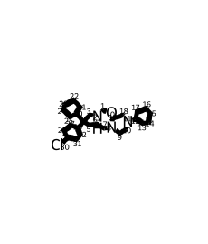 O=CNCC(CCCN1CCN(c2ccccc2)CC1)(c1ccccc1)c1ccc(Cl)cc1